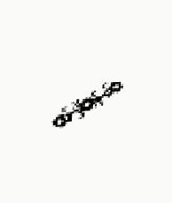 c1ccc2sc(-c3nc4cc5sc(-c6cc7ccccc7s6)nc5cc4s3)cc2c1